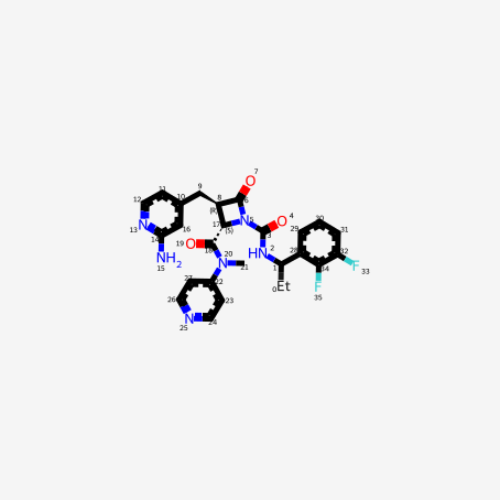 CCC(NC(=O)N1C(=O)[C@H](Cc2ccnc(N)c2)[C@H]1C(=O)N(C)c1ccncc1)c1cccc(F)c1F